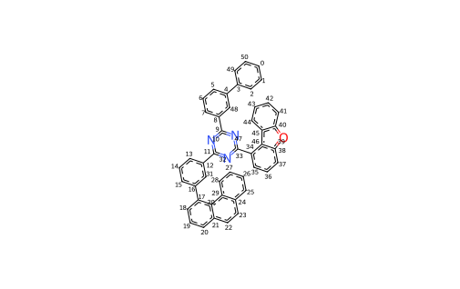 c1ccc(-c2cccc(-c3nc(-c4cccc(-c5cccc6ccc7ccccc7c56)c4)nc(-c4cccc5oc6ccccc6c45)n3)c2)cc1